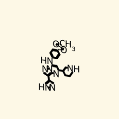 CS(=O)(=O)c1ccc(Nc2cc(C3CCCNC3)nc3c(-c4cn[nH]c4)cnn23)cc1